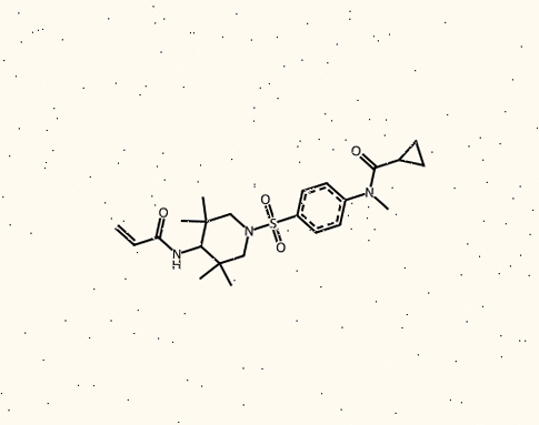 C=CC(=O)NC1C(C)(C)CN(S(=O)(=O)c2ccc(N(C)C(=O)C3CC3)cc2)CC1(C)C